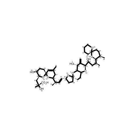 C=C1[C@@H](O)C2O[C@@]3(CCC2O[C@@H]1[C@@H](O)C[C@H](C)[C@H]1O[C@@]2(CCCCO2)CC[C@H]1C)CC[C@H](/C=C/[C@@H](C)C1CC(C)=C[C@]2(CC[C@H](O)[C@H](C[C@@](C)(O)C(=O)O)O2)O1)O3